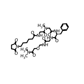 CN(C)C(=O)COCNC(=O)CNC(=O)[C@H](Cc1ccccc1)NC(=O)CN(C)C(=O)CNC(=O)CCCCCN1C(=O)CCC1=O